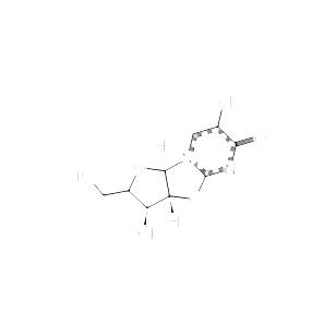 O=c1nc2n(cc1C(F)(F)F)[C@@H]1OC(CO)[C@H](O)[C@H]1O2